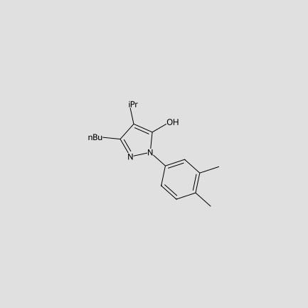 CCCCc1nn(-c2ccc(C)c(C)c2)c(O)c1C(C)C